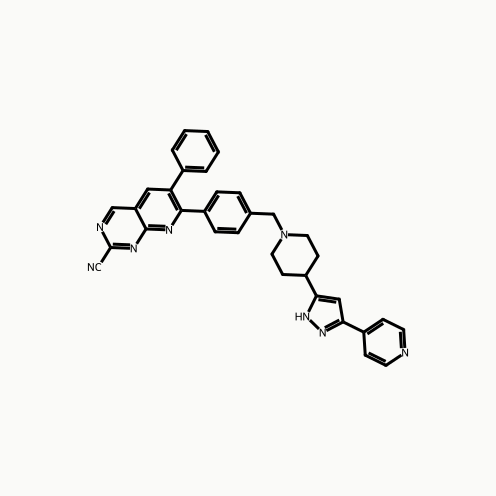 N#Cc1ncc2cc(-c3ccccc3)c(-c3ccc(CN4CCC(c5cc(-c6ccncc6)n[nH]5)CC4)cc3)nc2n1